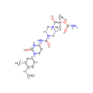 Cc1cc(-n2ccc(NC(=O)N3CCN(C(=O)C(C)(C)OC(N)=O)CC3)nc2=O)ccc1CC=O